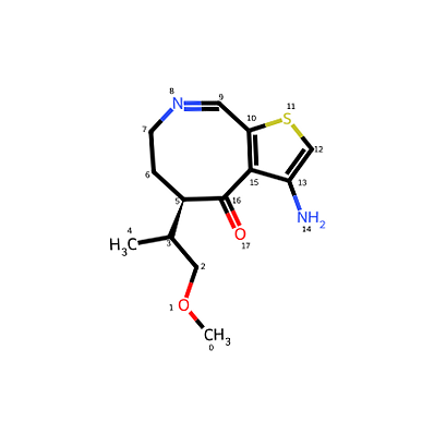 COCC(C)[C@H]1CC/N=C\c2scc(N)c2C1=O